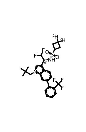 [2H]C1([2H])CC(S(=O)(=O)N[C@@H](c2cn(CC(C)(C)C)c3cc(-c4ccccc4C(F)(F)F)ccc23)C(F)F)C1